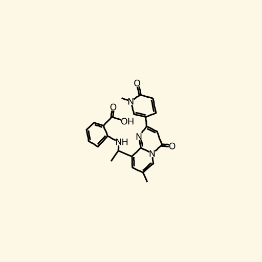 Cc1cc(C(C)Nc2ccccc2C(=O)O)c2nc(-c3ccc(=O)n(C)c3)cc(=O)n2c1